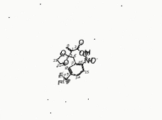 CC(C(=O)O)C1(Cc2cc(C(F)(F)F)ccc2[N+](=O)[O-])OCCO1